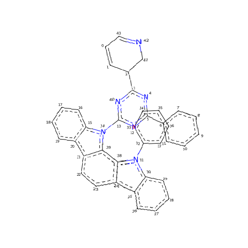 C1=CC(c2nc(-c3ccccc3)nc(-n3c4ccccc4c4ccc5c6ccccc6n(-c6ccccc6)c5c43)n2)CN=C1